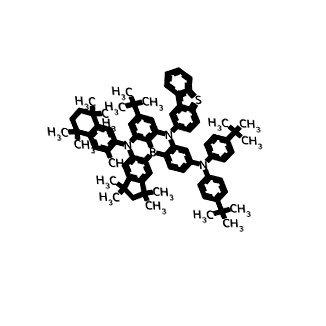 Cc1cc2c(cc1N1c3cc4c(cc3B3c5ccc(N(c6ccc(C(C)(C)C)cc6)c6ccc(C(C)(C)C)cc6)cc5N(c5ccc6sc7ccccc7c6c5)c5cc(C(C)(C)C)cc1c53)C(C)(C)CC4(C)C)C(C)(C)CCC2(C)C